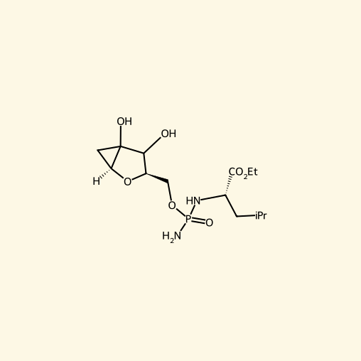 CCOC(=O)[C@H](CC(C)C)NP(N)(=O)OC[C@H]1O[C@H]2CC2(O)C1O